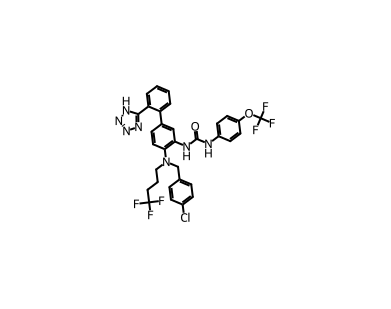 O=C(Nc1ccc(OC(F)(F)F)cc1)Nc1cc(-c2ccccc2-c2nnn[nH]2)ccc1N(CCCC(F)(F)F)Cc1ccc(Cl)cc1